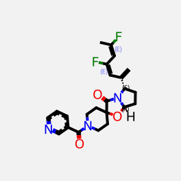 C=C(/C=C(F)\C=C(/C)F)[C@@H]1CC[C@H]2OC3(CCN(C(=O)c4cccnc4)CC3)C(=O)N21